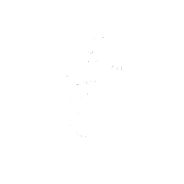 C=CC(=O)OCCOc1ccc(C(=O)C2=CCC(OCCO)(OCCO)C=C2)c(O)c1